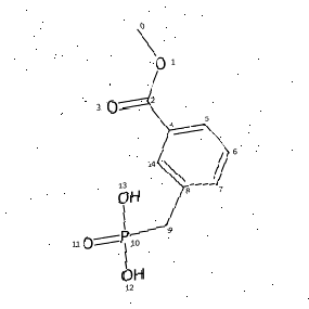 COC(=O)c1cccc(CP(=O)(O)O)c1